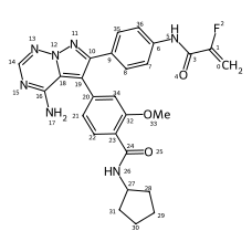 C=C(F)C(=O)Nc1ccc(-c2nn3ncnc(N)c3c2-c2ccc(C(=O)NC3CCCC3)c(OC)c2)cc1